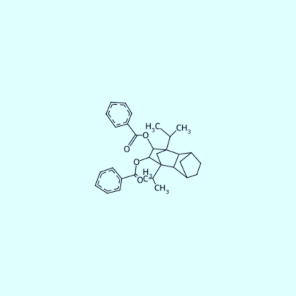 CC(C)C12CC(C(C)C)(C(OC(=O)c3ccccc3)C1OC(=O)c1ccccc1)C1C3CCC(C3)C12